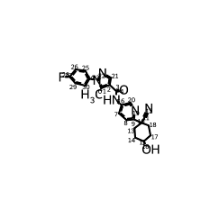 Cc1c(C(=O)Nc2ccc(C3(C#N)CCC(O)CC3)nc2)cnn1-c1ccc(F)cc1